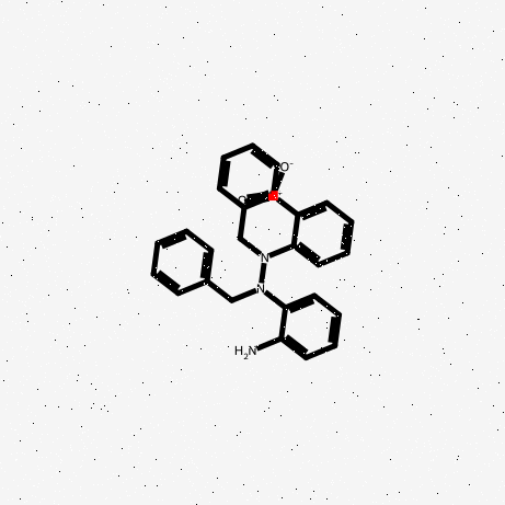 Nc1ccccc1N(Cc1ccccc1)N(Cc1ccccc1)c1ccccc1[N+](=O)[O-]